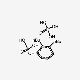 CCCCc1ccccc1CCCC.OP(O)(O)=S.OP(O)(O)=S